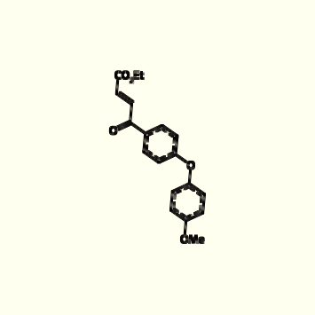 CCOC(=O)C=CC(=O)c1ccc(Oc2ccc(OC)cc2)cc1